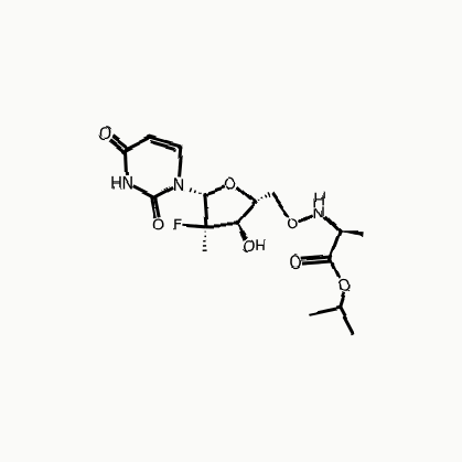 CC(C)OC(=O)[C@H](C)NOC[C@H]1O[C@@H](n2ccc(=O)[nH]c2=O)[C@](C)(F)[C@@H]1O